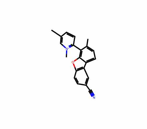 Cc1ccc(-c2c(C)ccc3c2oc2ccc(C#N)cc23)[n+](C)c1